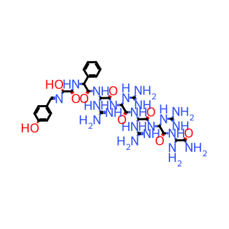 N=C(N)NC(NC(=O)C(NC(=N)N)NC(=O)C(NC(=N)N)NC(=O)C(NC(=N)N)NC(=O)C(NC(=O)C(O)/N=C/c1ccc(O)cc1)c1ccccc1)C(=O)NC(N)C(N)=O